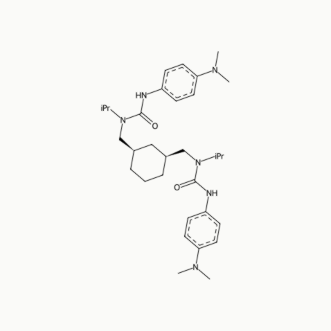 CC(C)N(C[C@@H]1CCC[C@H](CN(C(=O)Nc2ccc(N(C)C)cc2)C(C)C)C1)C(=O)Nc1ccc(N(C)C)cc1